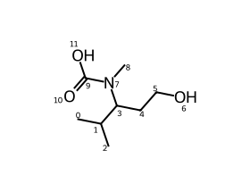 CC(C)C(CCO)N(C)C(=O)O